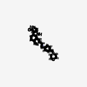 O=C1NCc2[nH]c3c(ccc4cnc(/C=C/c5ccc(CN6CCOCC6)cc5)cc43)c21